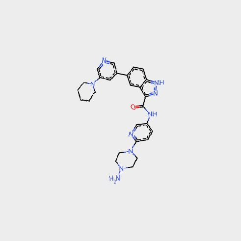 NN1CCN(c2ccc(NC(=O)c3n[nH]c4ccc(-c5cncc(N6CCCCC6)c5)cc34)cn2)CC1